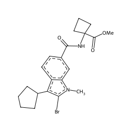 COC(=O)C1(NC(=O)c2ccc3c(C4CCCC4)c(Br)n(C)c3c2)CCC1